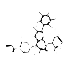 C=CC(=O)N1[C@H](C)CN(c2c(C#N)c(=O)n(C3C(C(C)C)=NC=C[C@H]3C)c3nc(-c4c(O)c(Cl)c(F)c(Cl)c4F)c(Cl)cc23)C[C@@H]1C